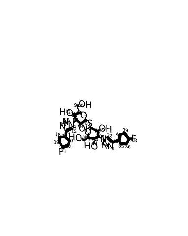 OC[C@H]1OC(SC2O[C@H](CO)[C@H](O)[C@H](n3cc(-c4ccc(F)cc4)nn3)[C@H]2O)[C@H](O)[C@@H](n2cc(-c3ccc(F)cc3)nn2)[C@H]1O